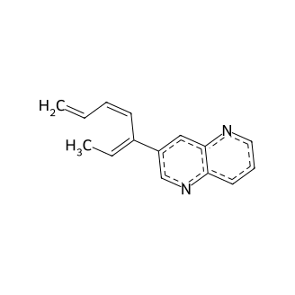 C=C/C=C\C(=C/C)c1cnc2cccnc2c1